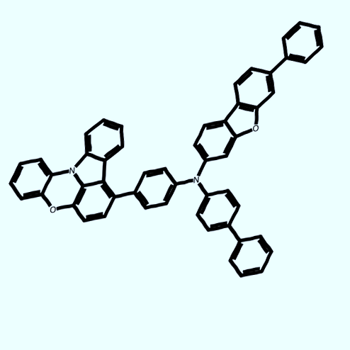 c1ccc(-c2ccc(N(c3ccc(-c4ccc5c6c4c4ccccc4n6-c4ccccc4O5)cc3)c3ccc4c(c3)oc3cc(-c5ccccc5)ccc34)cc2)cc1